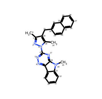 Cc1nn(-c2nnc3c4ccccc4n(C)c3n2)c(C)c1Cc1ccc2ccccc2c1